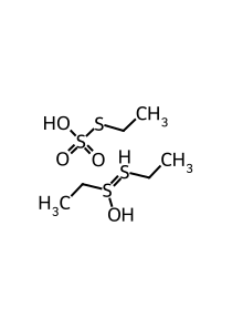 CCSS(=O)(=O)O.CC[SH]=S(O)CC